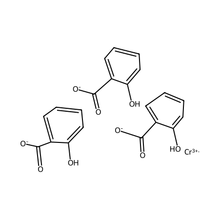 O=C([O-])c1ccccc1O.O=C([O-])c1ccccc1O.O=C([O-])c1ccccc1O.[Cr+3]